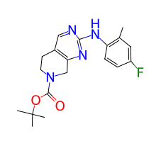 Cc1cc(F)ccc1Nc1ncc2c(n1)CN(C(=O)OC(C)(C)C)CC2